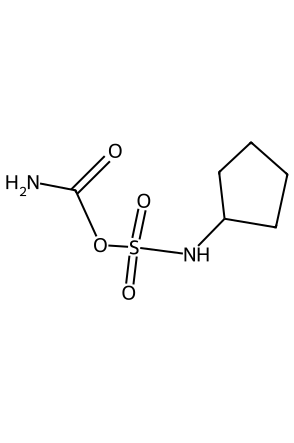 NC(=O)OS(=O)(=O)NC1CCCC1